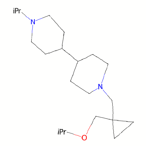 CC(C)OCC1(CN2CCC(C3CCN(C(C)C)CC3)CC2)CC1